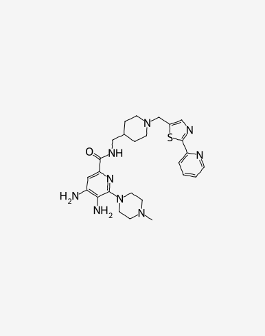 CN1CCN(c2nc(C(=O)NCC3CCN(Cc4cnc(-c5ccccn5)s4)CC3)cc(N)c2N)CC1